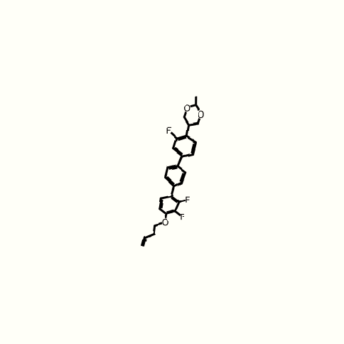 C=CCCOc1ccc(-c2ccc(-c3ccc(C4COC(C)OC4)c(F)c3)cc2)c(F)c1F